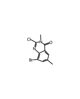 Cc1cc(Br)c2nc(Cl)n(C)c(=O)c2c1